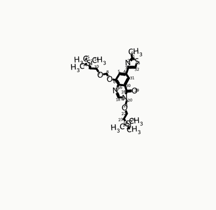 Cc1nc(-c2cc(OCOCC[Si](C)(C)C)c3ncn(COCC[Si](C)(C)C)c(=O)c3c2)cs1